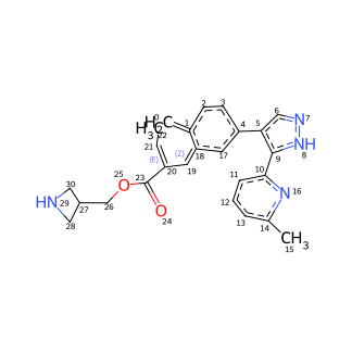 C=c1ccc(-c2cn[nH]c2-c2cccc(C)n2)c/c1=C/C(=C\C)C(=O)OCC1CNC1